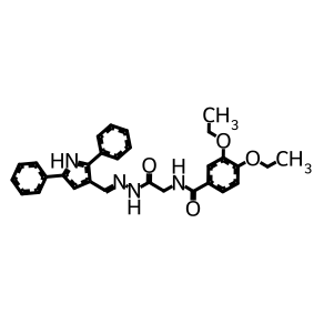 CCOc1ccc(C(=O)NCC(=O)N/N=C/c2cc(-c3ccccc3)[nH]c2-c2ccccc2)cc1OCC